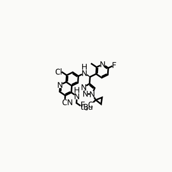 Cc1nc(F)ccc1[C@H](Nc1cc(Cl)c2ncc(C#N)c(NCC(C)(C)C)c2c1)c1cn(C2(C(F)(F)F)CC2)nn1